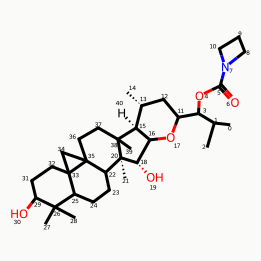 CC(C)C(OC(=O)N1CCC1)C1C[C@@H](C)[C@H]2C(O1)[C@H](O)[C@@]1(C)C3CCC4C(C)(C)C(O)CCC45CC35CCC21C